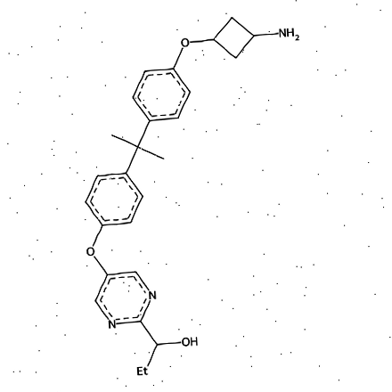 CCC(O)c1ncc(Oc2ccc(C(C)(C)c3ccc(OC4CC(N)C4)cc3)cc2)cn1